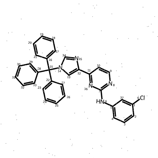 Clc1cccc(Nc2nccc(-c3cn(C(c4ccccc4)(c4ccccc4)c4ccccc4)cn3)n2)c1